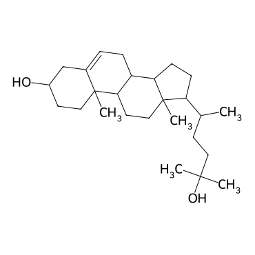 CC(CCC(C)(C)O)C1CCC2C3CC=C4CC(O)CCC4(C)C3CCC12C